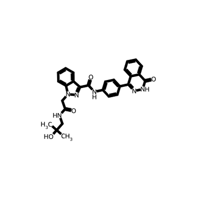 CC(C)(O)CNC(=O)Cn1nc(C(=O)Nc2ccc(-c3n[nH]c(=O)c4ccccc34)cc2)c2ccccc21